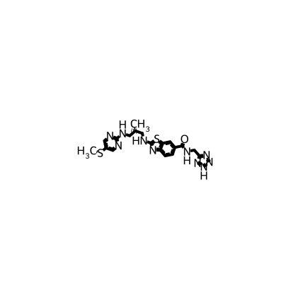 CSc1cnc(NC[C@H](C)CNc2nc3ccc(C(=O)NCc4nn[nH]n4)cc3s2)nc1